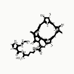 CC[C@@H]1c2cc3[nH]c4c(c3C)C(=O)C(C(=O)OC)c4c3nc(cc4[nH]c(cc(n2)[C@H]1C)c(C(C)=O)c4C)[C@H](C)[C@H]3CCC(=O)NCCCC(NC(=O)c1nc[nH]c1/N=N/C(C)C)C(=O)O